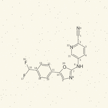 N#Cc1ccc(Nc2ncc(-c3ccc(C(F)F)cc3)o2)cn1